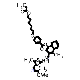 C=CC(=O)OCCCCCCOc1ccc(C(=O)Oc2cc(/C=N/Nc3nc(/C=C\C(=C)OC)c(C)s3)c(C)c3ccccc23)cc1